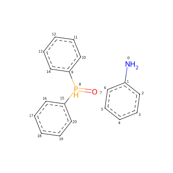 Nc1ccccc1.O=[PH](c1ccccc1)c1ccccc1